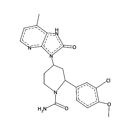 COc1ccc(C2CC(n3c(=O)[nH]c4c(C)ccnc43)CCN2C(N)=O)cc1Cl